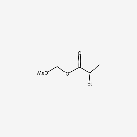 CCC(C)C(=O)OCOC